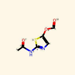 CC(=O)Nc1ncc(OC=O)s1